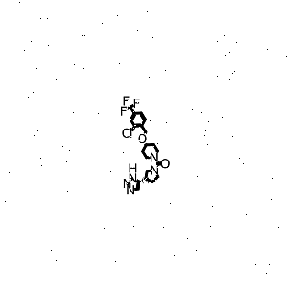 O=C(N1CCC(OCc2ccc(C(F)(F)F)cc2Cl)CC1)N1CC[C@H](c2cnn[nH]2)C1